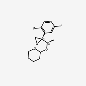 C[C@@H](OC1CCCCO1)[C@@]1(c2cc(F)ccc2F)CO1